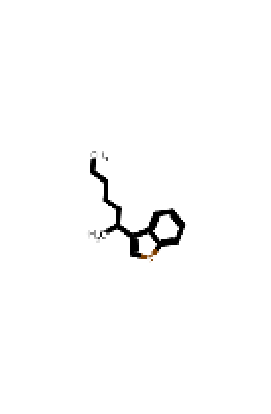 [CH2]C(CCCCC)c1csc2ccccc12